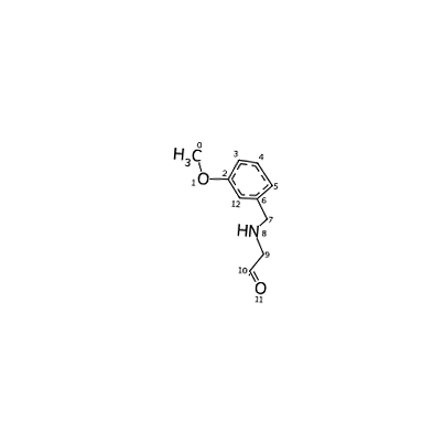 COc1cccc(CNC[C]=O)c1